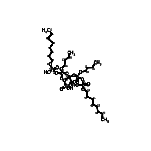 CCCCCCCCOP(=O)(O)OP(=O)(OCCCC)OC([O][Ti](=[O])[OH])(OP(=O)(OCCCC)OP(=O)(O)OCCCCCCCC)C(=O)O